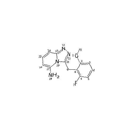 COc1cccc(F)c1Cc1nnc2cccc(N)n12